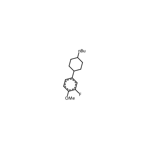 CCCCC1CCC(c2ccc(OC)c(F)c2)CC1